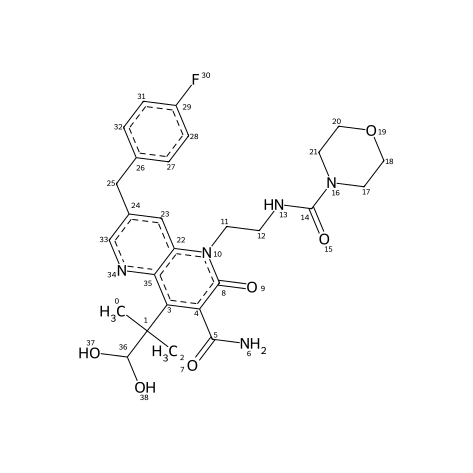 CC(C)(c1c(C(N)=O)c(=O)n(CCNC(=O)N2CCOCC2)c2cc(Cc3ccc(F)cc3)cnc12)C(O)O